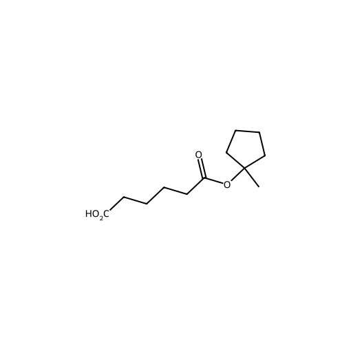 CC1(OC(=O)CCCCC(=O)O)CCCC1